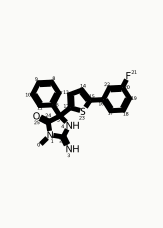 CN1C(=N)NC(c2ccccc2)(c2ccc(-c3cccc(F)c3)s2)C1=O